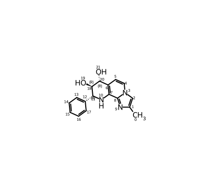 Cc1cn2ccc3c(c2n1)N[C@H](c1ccccc1)[C@@H](O)[C@@H]3O